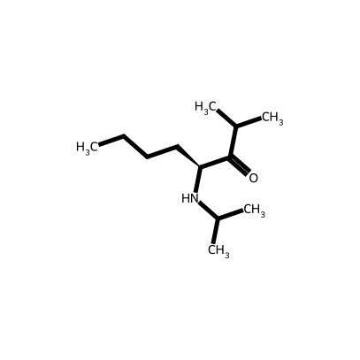 CCCC[C@H](NC(C)C)C(=O)C(C)C